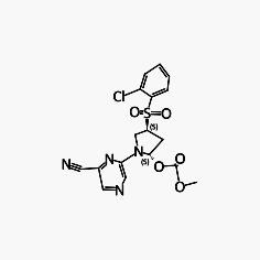 COC(=O)O[C@H]1C[C@H](S(=O)(=O)c2ccccc2Cl)CN1c1cncc(C#N)n1